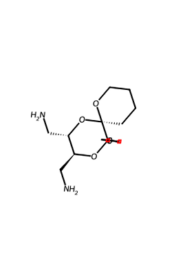 NC[C@@H]1O[C@]2(CCCCO2)[C@@]2(CCCCO2)O[C@H]1CN